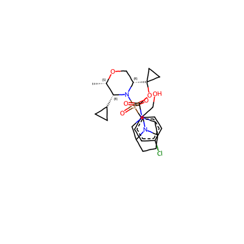 C[C@@H]1OC[C@H](C2(OC(=O)N3CC4CCC(C3)N4CCO)CC2)N(S(=O)(=O)c2ccc(Cl)cc2)[C@@H]1C1CC1